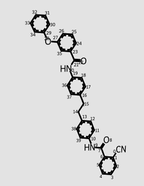 N#Cc1ccccc1C(=O)Nc1ccc(C[CH]c2ccc(NC(=O)c3cccc(Oc4ccccc4)c3)cc2)cc1